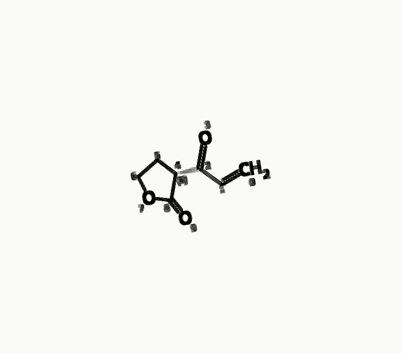 C=CC(=O)[C@H]1CCOC1=O